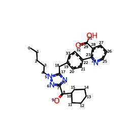 CCCCCn1nc(C(=O)C2CCCCC2)nc1Cc1ccc(-c2ncccc2C(=O)O)cc1